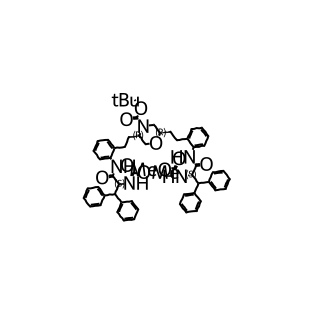 COC(=O)N[C@H](C(=O)Nc1ccccc1CC[C@@H]1CN(C(=O)OC(C)(C)C)[C@H](CCc2ccccc2NC(=O)[C@@H](NC(=O)OC)C(c2ccccc2)c2ccccc2)CO1)C(c1ccccc1)c1ccccc1